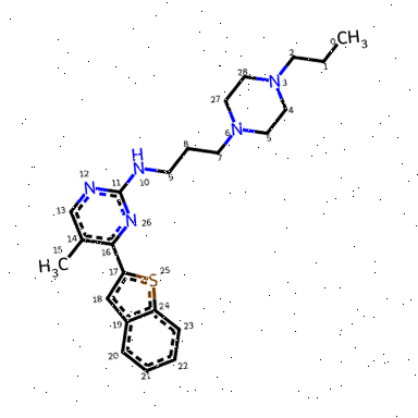 CCCN1CCN(CCCNc2ncc(C)c(-c3cc4ccccc4s3)n2)CC1